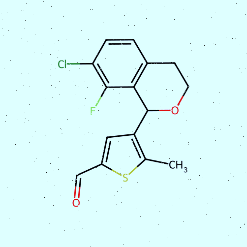 Cc1sc(C=O)cc1C1OCCc2ccc(Cl)c(F)c21